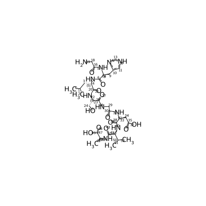 CC(C)C[C@H](NC(=O)[C@H](Cc1c[nH]cn1)NC(=O)CN)C(=O)N[C@@H](CO)C(=O)NCC(=O)N[C@@H](CC(=O)O)C(=O)N[C@H](C(=O)N[C@@H](C)C(=O)O)C(C)C